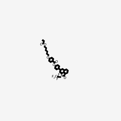 C=CC(=O)OCCCCCCOc1ccc(C(=O)Oc2ccc(-c3cc4c5c(cccc5c3)C(=O)N4CC(F)(F)C(F)(F)F)cc2)cc1